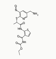 CCOC(=O)NC(=O)c1ccsc1NC(=O)C(C)Sc1ncc(CN)cc1N=O